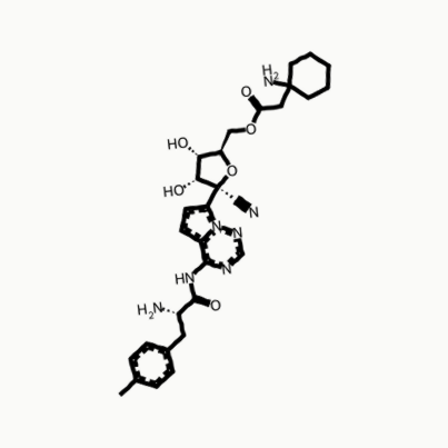 Cc1ccc(C[C@H](N)C(=O)Nc2ncnn3c([C@]4(C#N)O[C@H](COC(=O)CC5(N)CCCCC5)[C@@H](O)[C@H]4O)ccc23)cc1